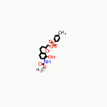 COC(=O)Nc1ccc2c(c1O)OC(COS(=O)(=O)c1ccc(C)cc1)CC2